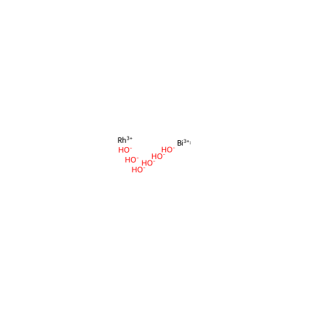 [Bi+3].[OH-].[OH-].[OH-].[OH-].[OH-].[OH-].[Rh+3]